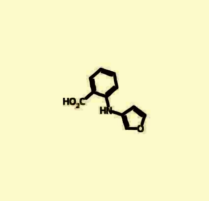 O=C(O)c1ccccc1Nc1ccoc1